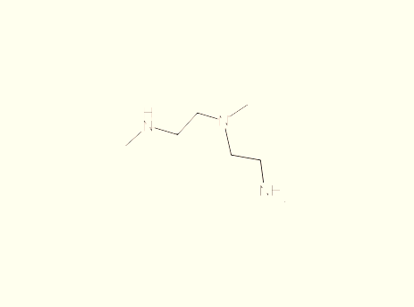 CNCCN(C)CCN